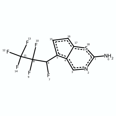 Nc1ncc2c(C(F)C(F)(F)C(F)(F)F)ccc-2s1